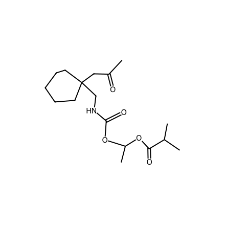 CC(=O)CC1(CNC(=O)OC(C)OC(=O)C(C)C)CCCCC1